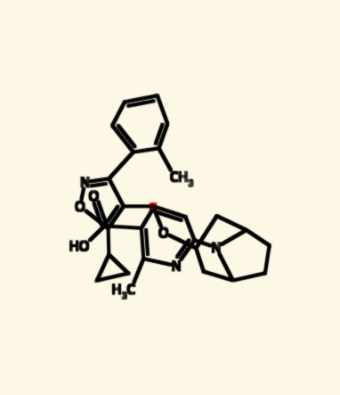 Cc1ccccc1-c1noc(C2CC2)c1COC1CC2CCC(C1)N2c1ccc(C(=O)O)c(C)n1